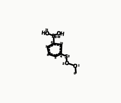 COOSc1cccc(B(O)O)c1